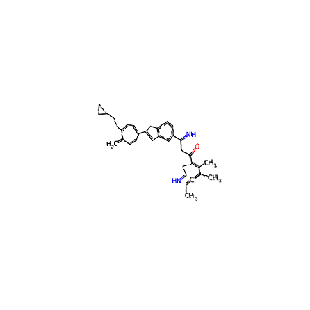 C=C1C=CC(C2=Cc3cc(C(=N)CC(=O)/C(CC=N)=C(\C)C(C)=C=CC)ccc3C2)=CC=C1CCC1CC1